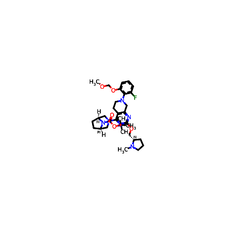 COCOc1cccc(F)c1N1CCc2c(nc(OC[C@@H]3CCCN3C)nc2N2C[C@H]3CC[C@@H](C2)N3C(=O)OC(C)(C)C)C1